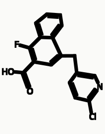 O=C(O)c1cc(Cc2ccc(Cl)nc2)c2ccccc2c1F